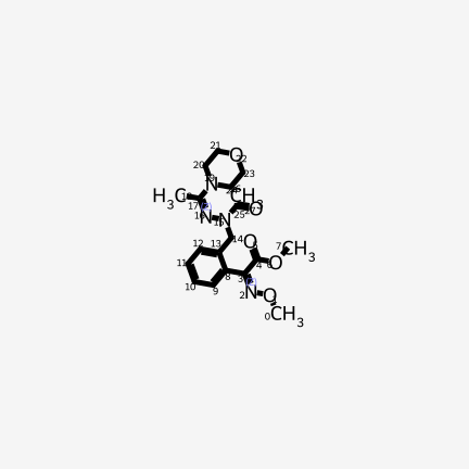 CO/N=C(\C(=O)OC)c1ccccc1CN(/N=C(/C)N1CCOCC1)C(C)=O